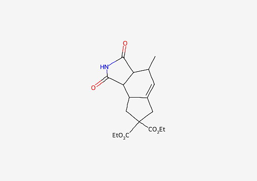 CCOC(=O)C1(C(=O)OCC)CC2=CC(C)C3C(=O)NC(=O)C3C2C1